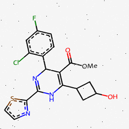 COC(=O)C1=C(C2CC(O)C2)NC(c2nccs2)=NC1c1ccc(F)cc1Cl